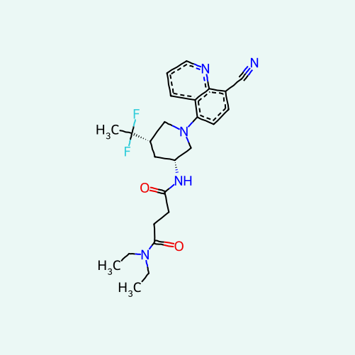 CCN(CC)C(=O)CCC(=O)N[C@@H]1C[C@H](C(C)(F)F)CN(c2ccc(C#N)c3ncccc23)C1